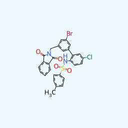 Cc1ccc(S(=O)(=O)Nc2ccc(Cl)cc2-c2cc(Br)cc(CN3C(=O)c4ccccc4C3=O)c2)cc1